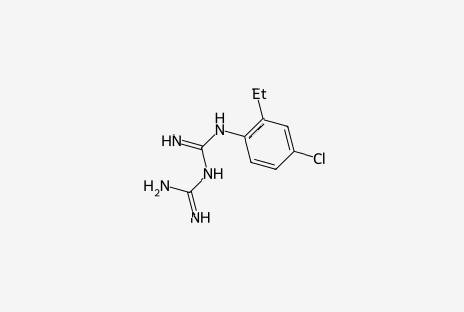 CCc1cc(Cl)ccc1NC(=N)NC(=N)N